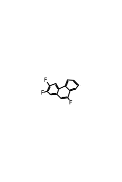 Fc1[c]c2cc(F)c3c[c]ccc3c2cc1F